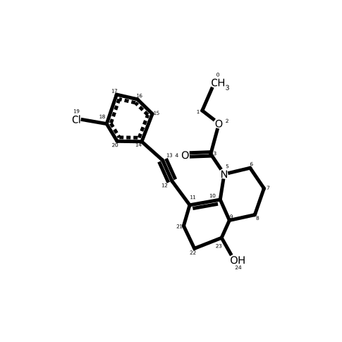 CCOC(=O)N1CCCC2C1=C(C#Cc1cccc(Cl)c1)CCC2O